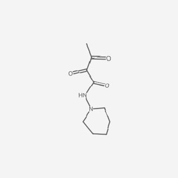 CC(=O)C(=O)C(=O)NN1CCCCC1